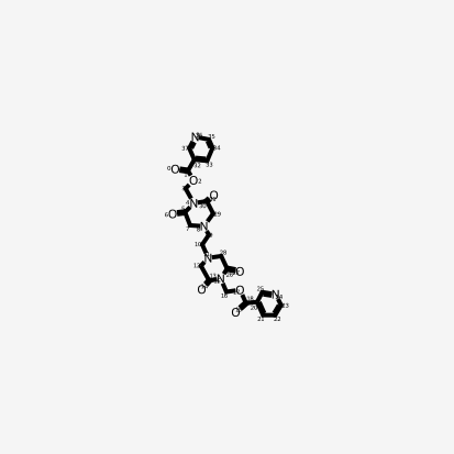 O=C(OCN1C(=O)CN(CCN2CC(=O)N(COC(=O)c3cccnc3)C(=O)C2)CC1=O)c1cccnc1